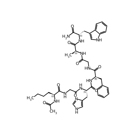 CCCC[C@H](NC(C)=O)C(=O)NCC(=O)N[C@@H](Cc1c[nH]cn1)C(=O)N[C@H](Cc1ccccc1)C(=O)NCC(=O)N[C@@H](C)C(=O)N[C@@H](Cc1c[nH]c2ccccc12)C(N)=O